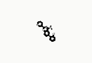 CN(C)c1nc(-c2cccnc2)nc2ccc(-c3ccccc3Cl)cc12